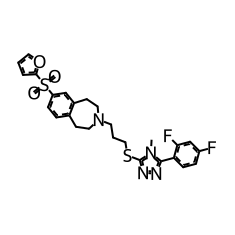 Cn1c(SCCCN2CCc3ccc(S(=O)(=O)c4ccco4)cc3CC2)nnc1-c1ccc(F)cc1F